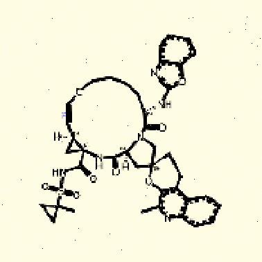 Cc1nc2ccccc2c2c1O[C@]1(CC2)C[C@H]2C(=O)N[C@]3(C(=O)NS(=O)(=O)C4(C)CC4)C[C@H]3/C=C\CCCCC[C@H](Nc3nc4ccccc4o3)C(=O)N2C1